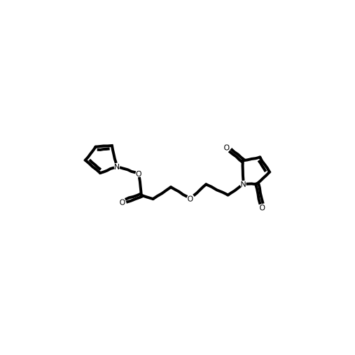 O=C(CCOCCN1C(=O)C=CC1=O)On1cccc1